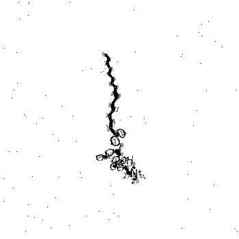 CCCCCCCCCCCCCCCC(=O)OC[C@H](COP(=O)(O)OCC[N+](C)(C)C)OC=O